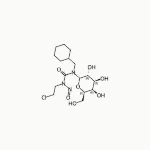 O=NN(CCCl)C(=O)N(CC1CCCCC1)C1O[C@H](CO)[C@H](O)[C@H](O)[C@H]1O